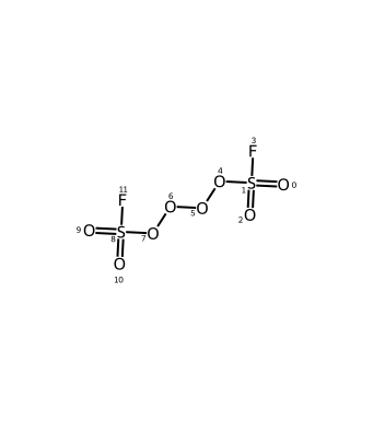 O=S(=O)(F)OOOOS(=O)(=O)F